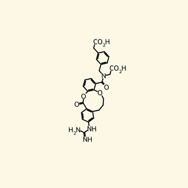 N=C(N)Nc1ccc2c(c1)CCCOc1c(cccc1C(=O)N(CC(=O)O)Cc1cccc(CC(=O)O)c1)OC2=O